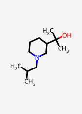 CC(C)CN1CCCC(C(C)(C)O)C1